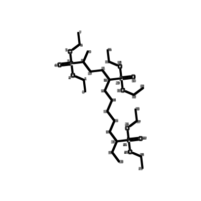 CCOP(=O)(OCC)C(C)CCC(CCCCCC(CC)P(=O)(OCC)OCC)P(=O)(OCC)OCC